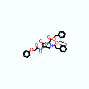 Cc1ccccc1CC(=O)N1CC2[C@H](NC(=O)COc3ccccc3)C(=O)N2C1C(=O)OCc1ccccc1